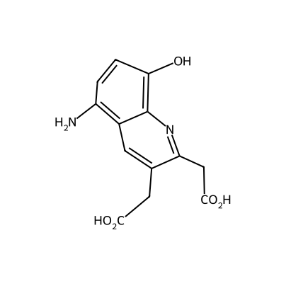 Nc1ccc(O)c2nc(CC(=O)O)c(CC(=O)O)cc12